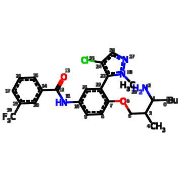 CCC(C)C(N)C(C)COc1ccc(NC(=O)c2cccc(C(F)(F)F)c2)cc1-c1c(Cl)cnn1C